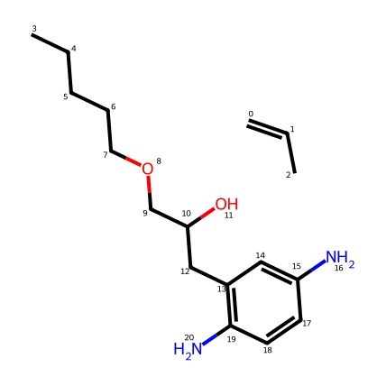 C=CC.CCCCCOCC(O)Cc1cc(N)ccc1N